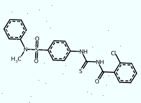 CN(c1ccccc1)S(=O)(=O)c1ccc(NC(=S)NC(=O)c2ccccc2Cl)cc1